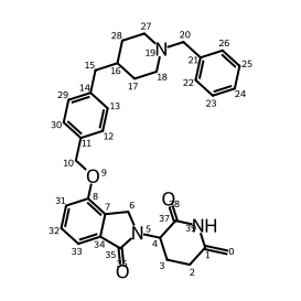 C=C1CCC(N2Cc3c(OCc4ccc(CC5CCN(Cc6ccccc6)CC5)cc4)cccc3C2=O)C(=O)N1